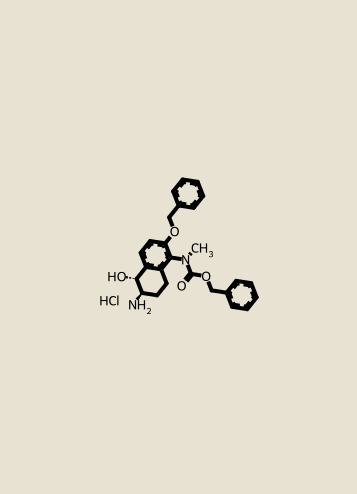 CN(C(=O)OCc1ccccc1)c1c(OCc2ccccc2)ccc2c1CC[C@@H](N)[C@@H]2O.Cl